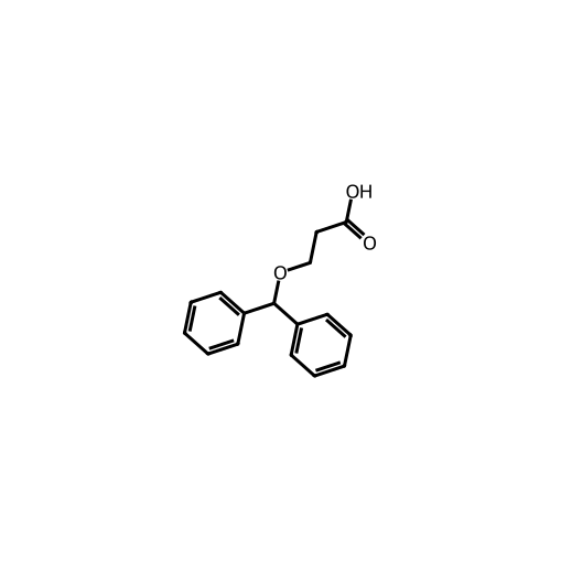 O=C(O)CCOC(c1ccccc1)c1ccccc1